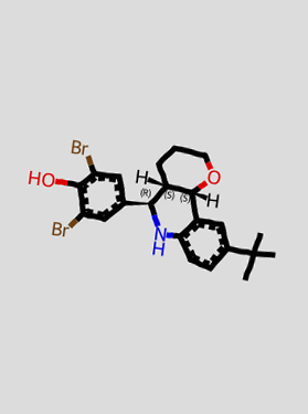 CC(C)(C)c1ccc2c(c1)[C@H]1OCCC[C@H]1[C@H](c1cc(Br)c(O)c(Br)c1)N2